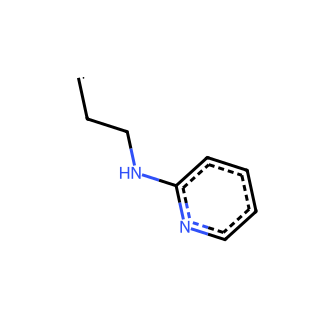 [CH2]CCNc1ccccn1